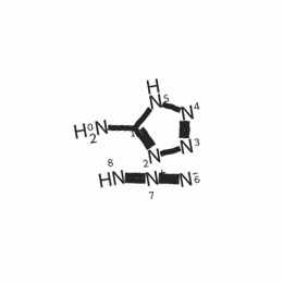 Nc1nnn[nH]1.[N-]=[N+]=N